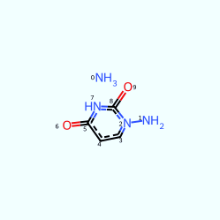 N.Nn1ccc(=O)[nH]c1=O